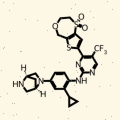 O=S1(=O)CCOCc2sc(-c3nc(Nc4ccc(N5C[C@H]6C[C@@H]5CN6)cc4C4CC4)ncc3C(F)(F)F)cc21